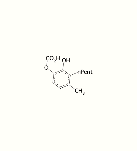 CCCCCc1c(C)ccc(OC(=O)O)c1O